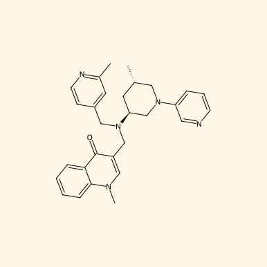 Cc1cc(CN(Cc2cn(C)c3ccccc3c2=O)[C@H]2C[C@H](C)CN(c3cccnc3)C2)ccn1